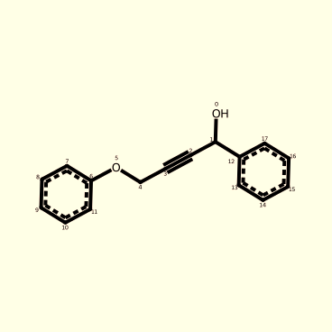 OC(C#CCOc1ccccc1)c1ccccc1